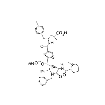 CCC(C)C(NC(=O)C1CCCCN1C)C(=O)N(Cc1ccccc1)C(CC(OCOC)c1nc(C(=O)NC(Cc2ccc(C)cc2)CC(C)C(=O)O)cs1)C(C)C